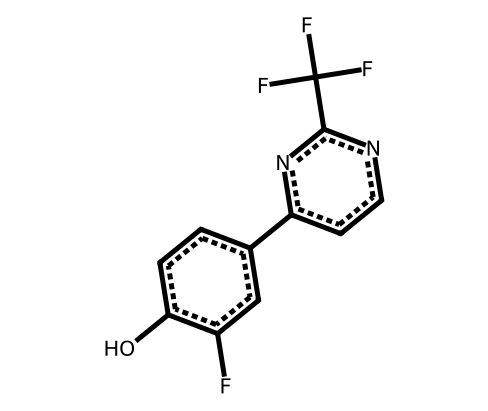 Oc1ccc(-c2ccnc(C(F)(F)F)n2)cc1F